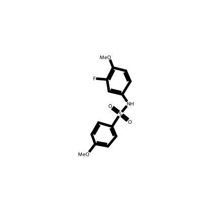 COc1ccc(S(=O)(=O)Nc2ccc(OC)c(F)c2)cc1